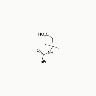 CCCC(=O)NC(C)(C)CC(=O)O